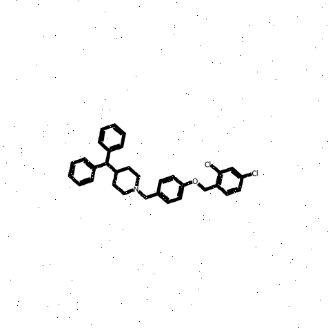 Clc1ccc(COc2ccc(CN3CCC(C(c4ccccc4)c4ccccc4)CC3)cc2)c(Cl)c1